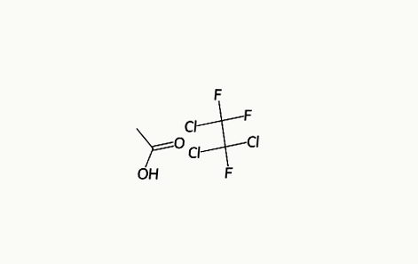 CC(=O)O.FC(F)(Cl)C(F)(Cl)Cl